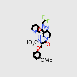 COc1cccc(OC[C@@H](NC(=O)O)C(=O)N2CCC3=NN(CC(F)F)C(=O)[C@]3(Cc3ccccn3)C2)c1